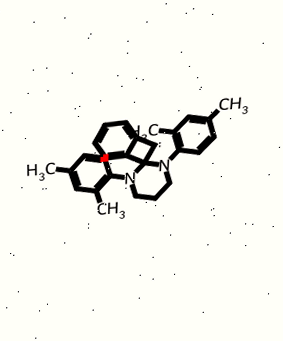 Cc1ccc(N2CCCN(c3ccc(C)cc3C)C23[C]c2ccccc23)c(C)c1